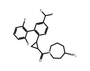 NC1CCCN(C(=O)C2CC2c2ccc(C(F)F)cc2-c2c(F)cccc2F)CC1